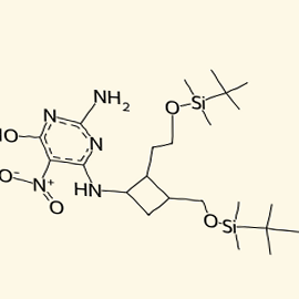 CC(C)(C)[Si](C)(C)OCCC1C(CO[Si](C)(C)C(C)(C)C)CC1Nc1nc(N)nc(O)c1[N+](=O)[O-]